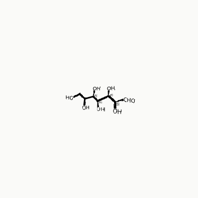 O=C[C@@H](O)[C@H](O)[C@@H](O)[C@H](O)C(O)CO